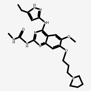 CCc1cc(Nc2nc(NC(=O)NC)nc3cc(OCCCN4CCCC4)c(OC)cc23)n[nH]1